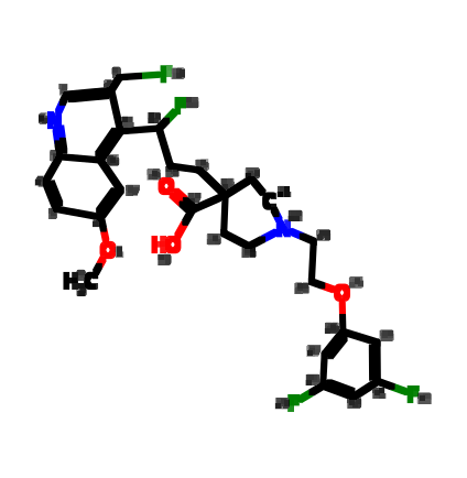 COc1ccc2ncc(CF)c(C(F)CCC3(C(=O)O)CCN(CCOc4cc(F)cc(F)c4)CC3)c2c1